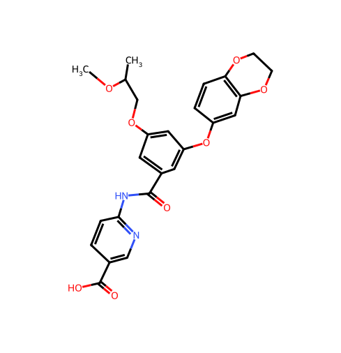 COC(C)COc1cc(Oc2ccc3c(c2)OCCO3)cc(C(=O)Nc2ccc(C(=O)O)cn2)c1